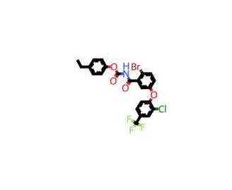 CCc1ccc(OC(=O)NC(=O)c2cc(Oc3ccc(C(F)(F)F)cc3Cl)ccc2Br)cc1